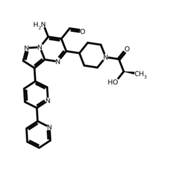 C[C@@H](O)C(=O)N1CCC(c2nc3c(-c4ccc(-c5ccccn5)nc4)cnn3c(N)c2C=O)CC1